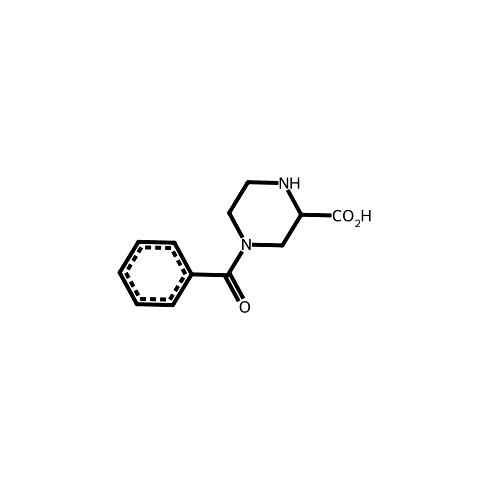 O=C(O)C1CN(C(=O)c2ccccc2)CCN1